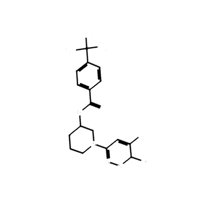 CC(C)(C)c1ccc(C(=O)NC2CCCN(C3=NNC(O)C(Br)=C3)C2)cc1